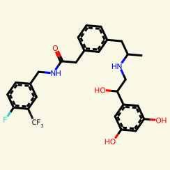 CC(Cc1cccc(CC(=O)NCc2ccc(F)c(C(F)(F)F)c2)c1)NCC(O)c1cc(O)cc(O)c1